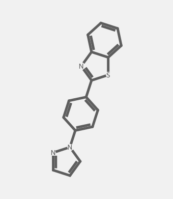 c1ccc2sc(-c3ccc(-n4cccn4)cc3)nc2c1